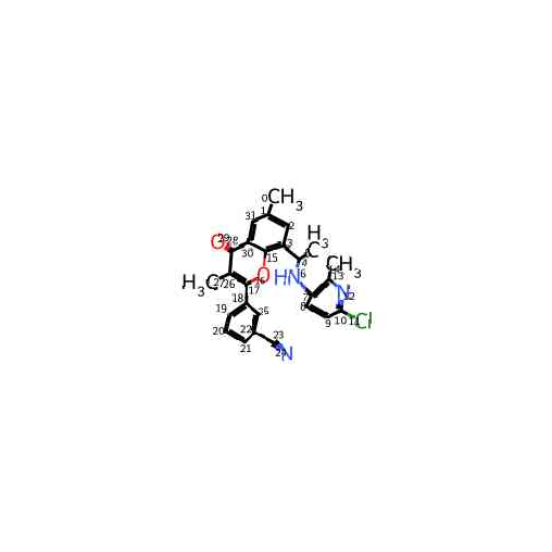 Cc1cc(C(C)Nc2ccc(Cl)nc2C)c2oc(-c3cccc(C#N)c3)c(C)c(=O)c2c1